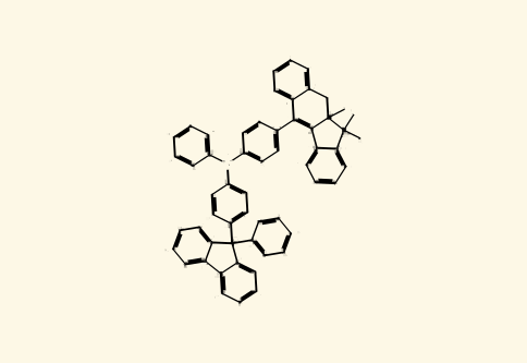 CC12Cc3ccccc3C(c3ccc(N(c4ccccc4)c4ccc(C5(c6ccccc6)c6ccccc6-c6ccccc65)cc4)cc3)=C1c1ccccc1C2(C)C